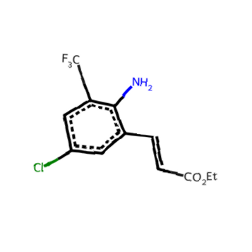 CCOC(=O)C=Cc1cc(Cl)cc(C(F)(F)F)c1N